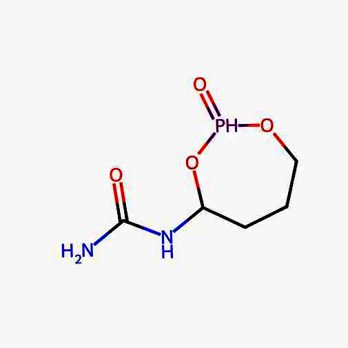 NC(=O)NC1CCCO[PH](=O)O1